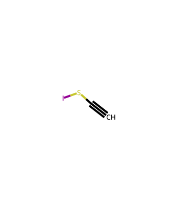 C#CSI